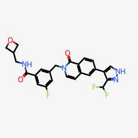 O=C(NCC1COC1)c1cc(F)cc(Cn2ccc3cc(-c4c[nH]nc4C(F)F)ccc3c2=O)c1